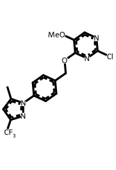 COc1cnc(Cl)nc1OCc1ccc(-n2nc(C(F)(F)F)cc2C)cc1